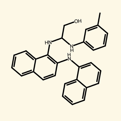 Cc1cccc(NC(CO)Nc2c(Nc3cccc4ccccc34)ccc3ccccc23)c1